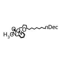 CCCCCCCCCCCCCCCCCC1CCC(COC(=O)N(C)Cc2ccccn2)O1